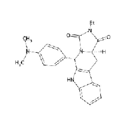 CCN1C(=O)[C@H]2Cc3c([nH]c4ccccc34)[C@H](c3ccc(N(C)C)cc3)N2C1=O